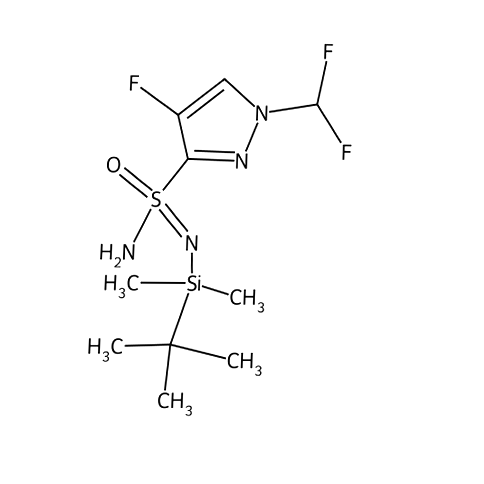 CC(C)(C)[Si](C)(C)N=S(N)(=O)c1nn(C(F)F)cc1F